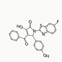 O=C(C1=C(O)C(=O)N(c2nc3ccc(F)cc3s2)C1c1ccc(O)cc1)c1ccccc1